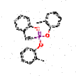 CCC[PH](Oc1ccccc1C)(Oc1ccccc1C)Oc1ccccc1C